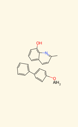 Cc1ccc2cccc(O)c2n1.[AlH2][O]c1ccc(-c2ccccc2)cc1